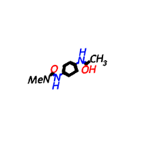 CNC(=O)N[C@H]1CC[C@@H](NC(C)O)CC1